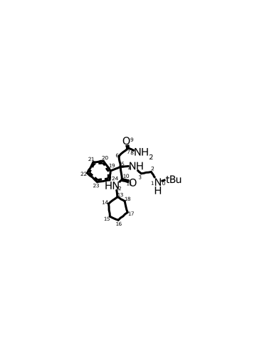 CC(C)(C)NCCNC(CC(N)=O)(C(=O)NC1CCCCC1)c1ccccc1